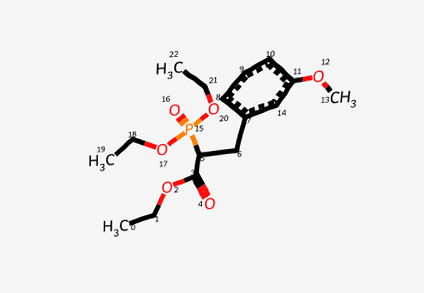 CCOC(=O)C(Cc1cccc(OC)c1)P(=O)(OCC)OCC